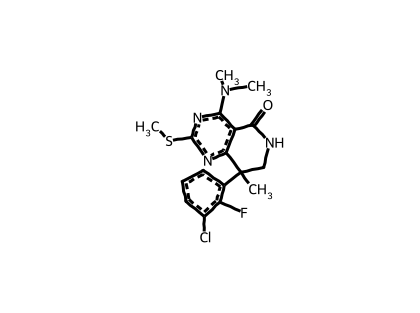 CSc1nc(N(C)C)c2c(n1)C(C)(c1cccc(Cl)c1F)CNC2=O